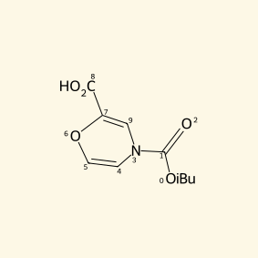 CC(C)COC(=O)N1C=COC(C(=O)O)=C1